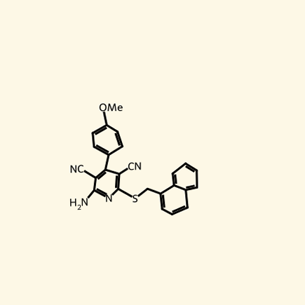 COc1ccc(-c2c(C#N)c(N)nc(SCc3cccc4ccccc34)c2C#N)cc1